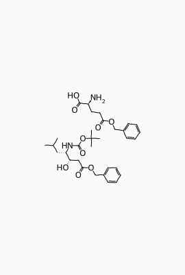 CC(C)C[C@H](NC(=O)OC(C)(C)C)[C@@H](O)CC(=O)OCc1ccccc1.N[C@@H](CCC(=O)OCc1ccccc1)C(=O)O